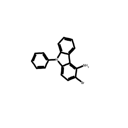 Nc1c(Br)ccc2c1c1ccccc1n2-c1ccccc1